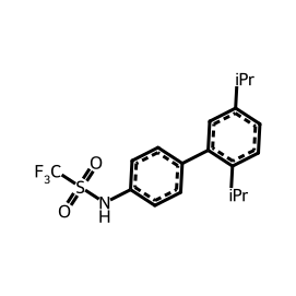 CC(C)c1ccc(C(C)C)c(-c2ccc(NS(=O)(=O)C(F)(F)F)cc2)c1